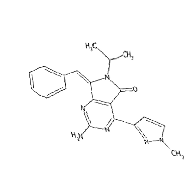 CC(C)N1C(=O)c2c(nc(N)nc2-c2ccn(C)n2)C1=Cc1ccccc1